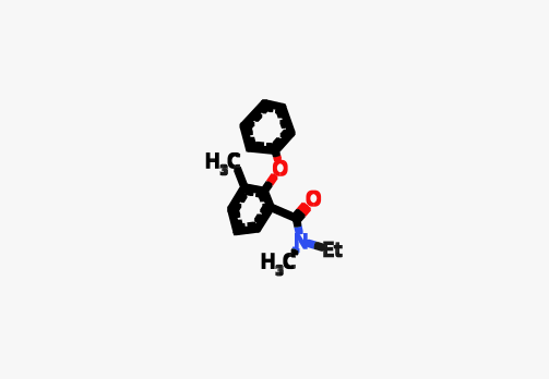 CCN(C)C(=O)c1cccc(C)c1Oc1ccccc1